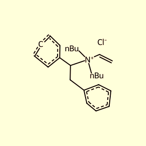 C=C[N+](CCCC)(CCCC)C(Cc1ccccc1)c1ccccc1.[Cl-]